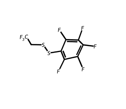 Fc1c(F)c(F)c(SSCC(F)(F)F)c(F)c1F